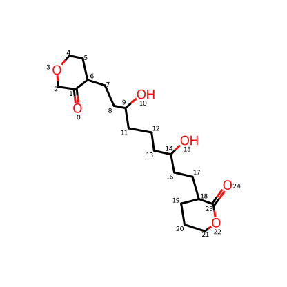 O=C1COCCC1CCC(O)CCCC(O)CCC1CCCOC1=O